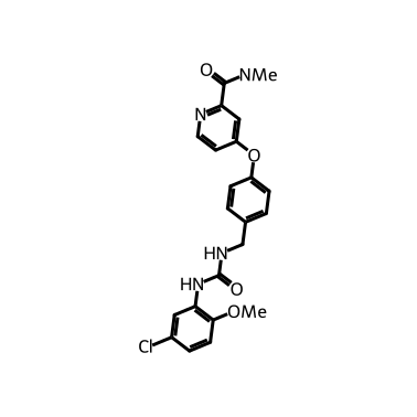 CNC(=O)c1cc(Oc2ccc(CNC(=O)Nc3cc(Cl)ccc3OC)cc2)ccn1